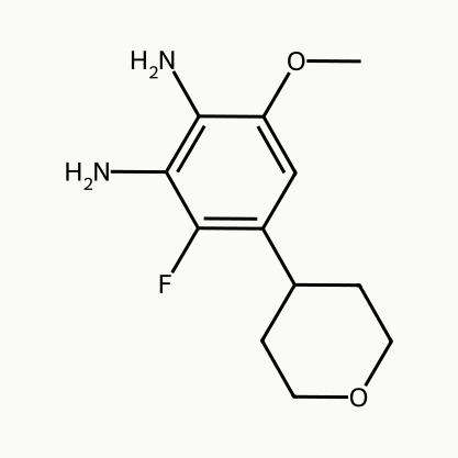 COc1cc(C2CCOCC2)c(F)c(N)c1N